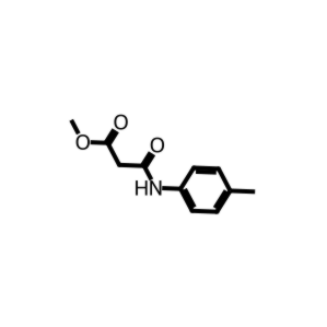 COC(=O)CC(=O)Nc1ccc(C)cc1